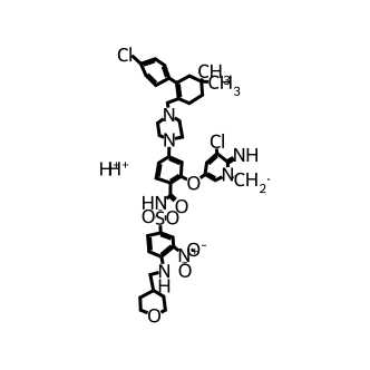 [CH2]n1cc(Oc2cc(N3CCN(CC4=C(c5ccc(Cl)cc5)CC(C)(C)CC4)CC3)ccc2C(=O)NS(=O)(=O)c2ccc(NCC3CCOCC3)c([N+](=O)[O-])c2)cc(Cl)c1=N.[H+].[H+]